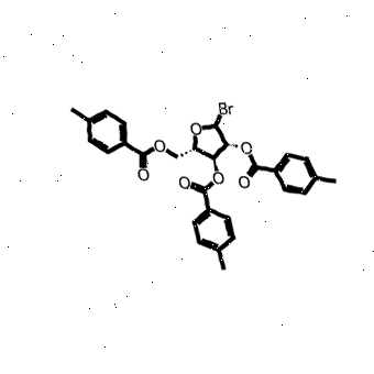 Cc1ccc(C(=O)OC[C@@H]2OC(Br)[C@H](OC(=O)c3ccc(C)cc3)[C@H]2OC(=O)c2ccc(C)cc2)cc1